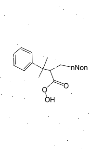 CCCCCCCCCCC(C(=O)OO)C(C)(C)c1ccccc1